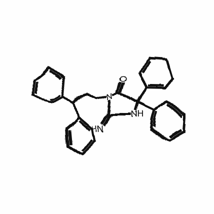 N=C1NC(C2=CCCC=C2)(c2ccccc2)C(=O)N1CC(c1ccccc1)c1ccccc1